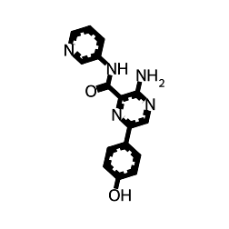 Nc1ncc(-c2ccc(O)cc2)nc1C(=O)Nc1cccnc1